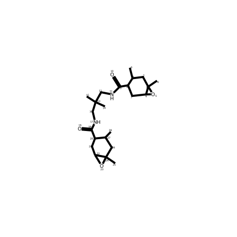 CC1CC2(C)OC2CC1C(=O)NCC(C)(C)CNC(=O)C1CC2OC2(C)CC1C